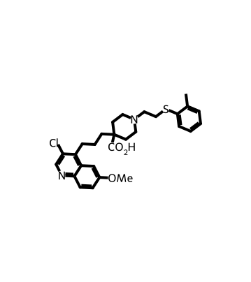 COc1ccc2ncc(Cl)c(CCCC3(C(=O)O)CCN(CCSc4ccccc4C)CC3)c2c1